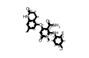 Cc1cc2c(c(Oc3cc(=O)n(C)c(Nc4ccc(I)cc4F)c3C(N)=O)c1)CCC(=O)N2